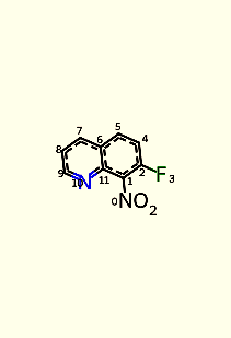 O=[N+]([O-])c1c(F)ccc2cccnc12